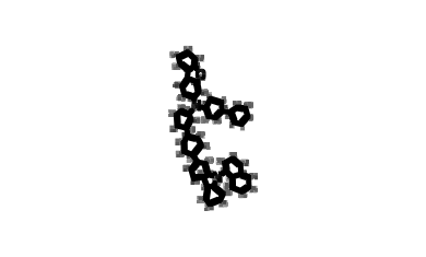 c1ccc(-c2ccc(N(c3cccc(-c4ccc(-c5ccc6c7ccccc7n(-c7cccc8ccccc78)c6c5)cc4)c3)c3ccc4c(c3)oc3ccccc34)cc2)cc1